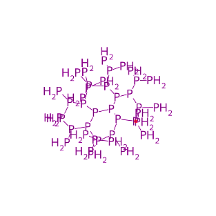 PP(P)P(P)P(P(P)P)P(P(P(P(P)P)P(P)P)P(P(P)P)P(P)P)P(P(P(P)P)P(P)P)P(P(P)P)P(P)P